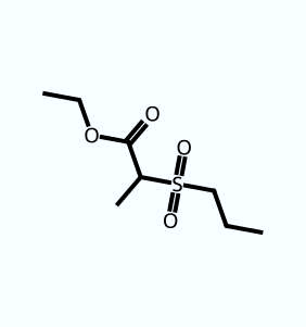 CCCS(=O)(=O)C(C)C(=O)OCC